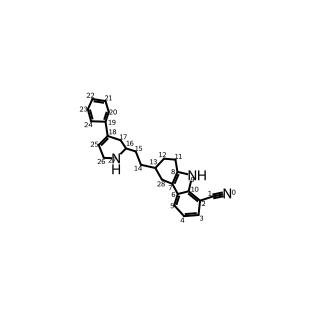 N#Cc1cccc2c3c([nH]c12)CCC(CCC1CC(c2ccccc2)=CCN1)C3